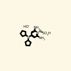 Nc1cc(N(C2CCCC2)C2CCCC2)cc(N)[n+]1OS(=O)(=O)O.[OH-]